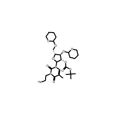 Cc1cn(C2O[C@H](COC3CCCCO3)[C@@H](OC3CCCCO3)[C@@H]2OC(=O)OC(C)(C)C)c(=O)n(CC[18F])c1=O